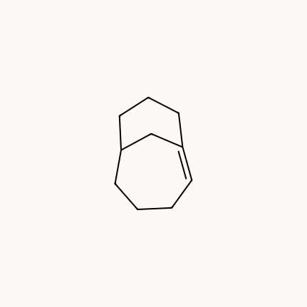 C1=C2CCCC(CCC1)C2